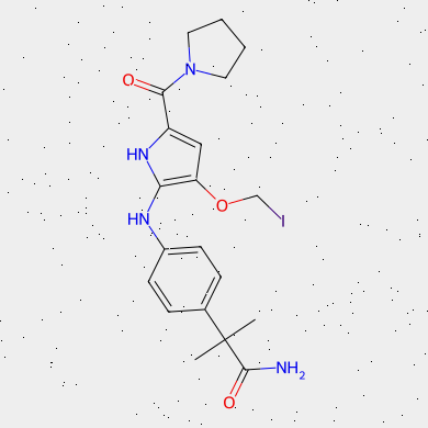 CC(C)(C(N)=O)c1ccc(Nc2[nH]c(C(=O)N3CCCC3)cc2OCI)cc1